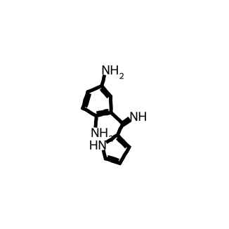 N=C(c1ccc[nH]1)c1cc(N)ccc1N